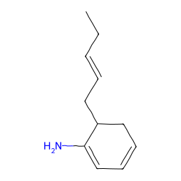 CCC=CCC1CC=CC=C1N